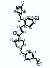 CCOc1ccc(CN2CCN(C(=O)/C=C/c3ccc(Cl)cc3Cn3nnc(C)n3)[C@H](C)C2)nc1